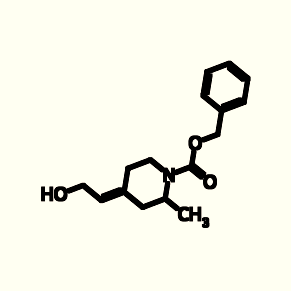 CC1C/C(=C/CO)CCN1C(=O)OCc1ccccc1